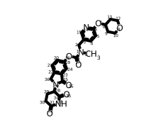 CN(Cc1ccc(OC2CCOCC2)nc1)C(=O)Oc1ccc2c(c1)C(=O)N(C1CCC(=O)NC1=O)C2